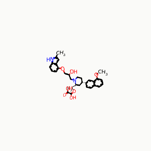 COc1cccc2ccc([C@H]3CCN(C[C@H](O)COc4cccc5[nH]c(C)cc45)[C@H](C)C3)cc12.O=C(O)C(=O)O